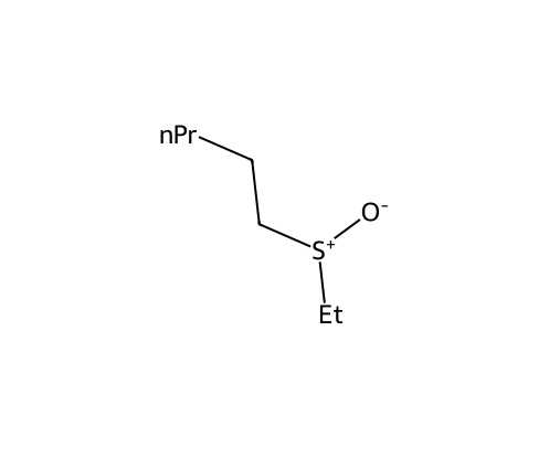 [CH2]CCCC[S+]([O-])CC